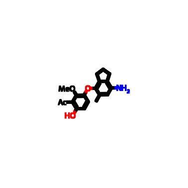 COc1c(Oc2c(C)cc(N)c3c2CCC3)ccc(O)c1C(C)=O